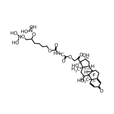 C[C@]12C=CC(=O)C=C1CC[C@H]1[C@@H]3C[C@@H](O)[C@](O)(C(=O)COC(=O)CNC(=O)OCCCCC(CON(O)O)ON(O)O)[C@@]3(C)C[C@H](O)[C@@]12F